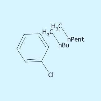 CCCCC.CCCCCC.Clc1ccccc1